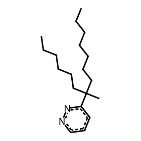 CCCCCCCC(C)(CCCCCC)c1cccnn1